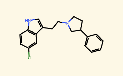 Clc1ccc2[nH]cc(CCN3CCC(c4ccccc4)C3)c2c1